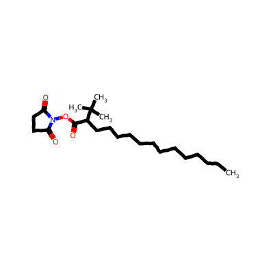 CCCCCCCCCCCCCC(C(=O)ON1C(=O)CCC1=O)C(C)(C)C